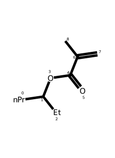 [CH2]CCC(CC)OC(=O)C(=C)C